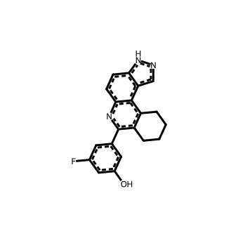 Oc1cc(F)cc(-c2nc3ccc4[nH]ncc4c3c3c2CCCC3)c1